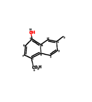 Cc1ccc2c(C(=O)O)ccc(O)c2c1